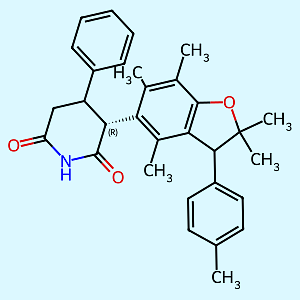 Cc1ccc(C2c3c(C)c([C@@H]4C(=O)NC(=O)CC4c4ccccc4)c(C)c(C)c3OC2(C)C)cc1